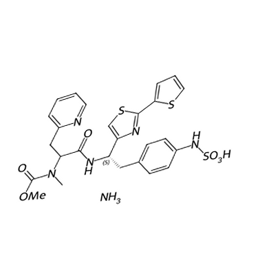 COC(=O)N(C)C(Cc1ccccn1)C(=O)N[C@@H](Cc1ccc(NS(=O)(=O)O)cc1)c1csc(-c2cccs2)n1.N